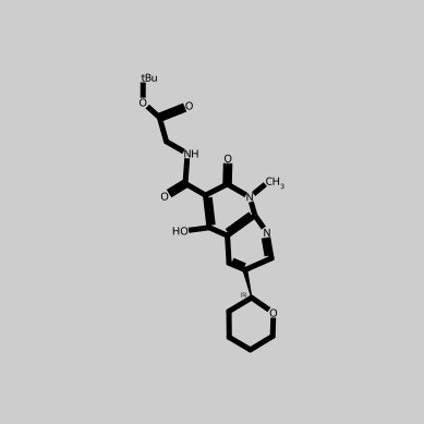 Cn1c(=O)c(C(=O)NCC(=O)OC(C)(C)C)c(O)c2cc([C@@H]3CCCCO3)cnc21